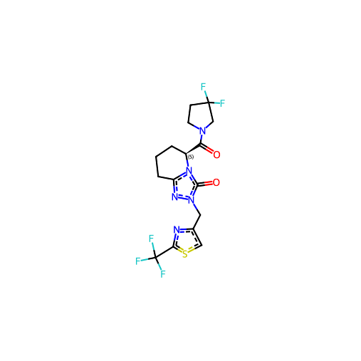 O=C([C@@H]1CCCc2nn(Cc3csc(C(F)(F)F)n3)c(=O)n21)N1CCC(F)(F)C1